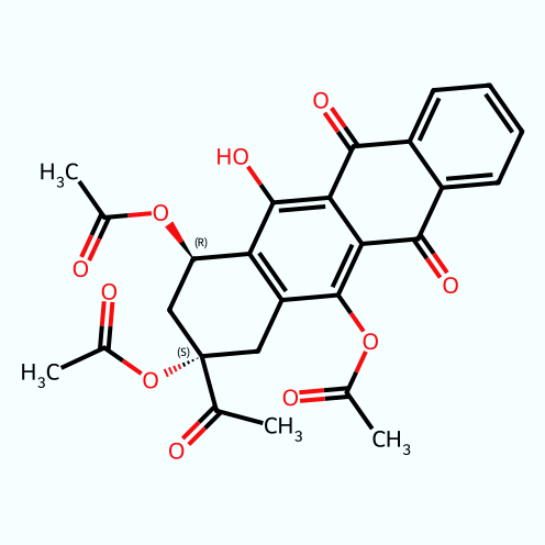 CC(=O)Oc1c2c(c(O)c3c1C(=O)c1ccccc1C3=O)[C@H](OC(C)=O)C[C@](OC(C)=O)(C(C)=O)C2